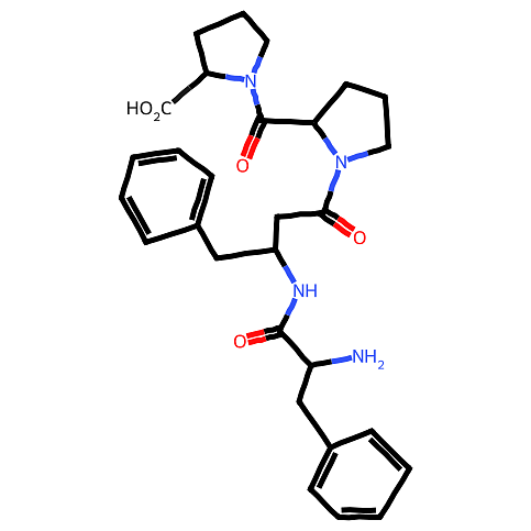 NC(Cc1ccccc1)C(=O)NC(CC(=O)N1CCCC1C(=O)N1CCCC1C(=O)O)Cc1ccccc1